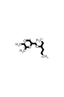 CCCC(CC)OCC(CCl)OC(C)CC